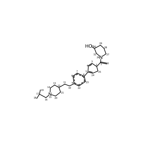 C=C(C1C=CC(c2ccc(CCC3CCN(CC(C)C)CC3)cc2)=CC1)N1CCCC(O)C1